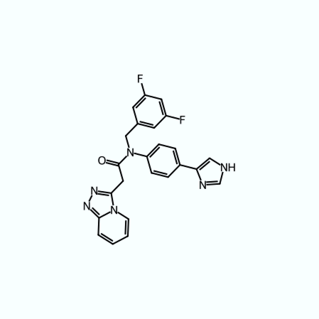 O=C(Cc1nnc2ccccn12)N(Cc1cc(F)cc(F)c1)c1ccc(-c2c[nH]cn2)cc1